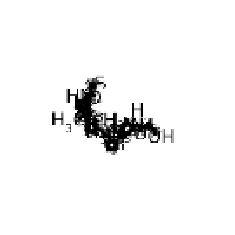 Cc1c(OCOc2ccccc2-c2cc3cc(NC(=O)C4CC4CO)ncc3n2C)cccc1-c1cc2cc(NC(=O)C3CC3F)ncc2n1C